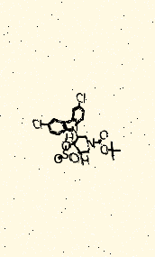 CC(C)(C)OC(=O)N1C[C@@H]2OS(=O)O[C@@H]2[C@@H](n2c3ccc(Cl)cc3c3cc(Cl)ccc32)C1